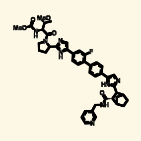 COC(=O)N[C@H](C(=O)N1CCCC1c1ncc(-c2ccc(-c3ccc(-c4cnc(C5C6CCC(C6)[C@@H]5C(=O)NCc5cccnc5)[nH]4)cc3)c(F)c2)[nH]1)[C@@H](C)OC